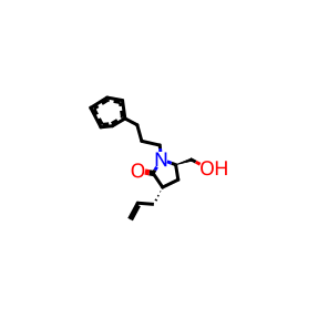 C=CC[C@H]1C[C@H](CO)N(CCCc2ccccc2)C1=O